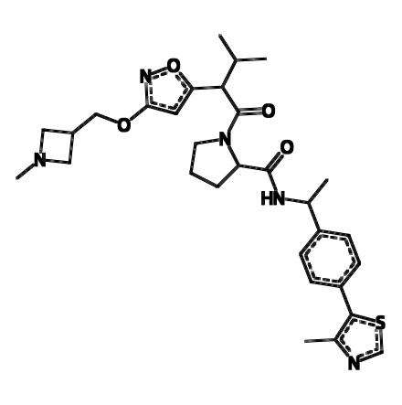 Cc1ncsc1-c1ccc(C(C)NC(=O)C2CCCN2C(=O)C(c2cc(OCC3CN(C)C3)no2)C(C)C)cc1